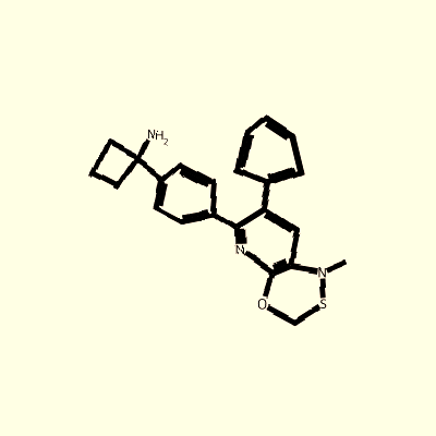 CN1SCOc2nc(-c3ccc(C4(N)CCC4)cc3)c(-c3ccccc3)cc21